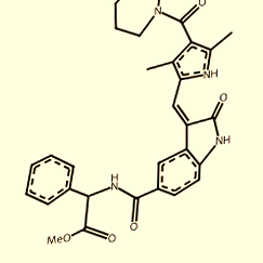 COC(=O)C(NC(=O)c1ccc2c(c1)/C(=C/c1[nH]c(C)c(C(=O)N3CCCCC3)c1C)C(=O)N2)c1ccccc1